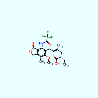 CC[C@@H](C/C(C)=C/Cc1c(NC(=O)C(F)(F)F)c2c(c(C)c1OC)COC2=O)C(=O)O